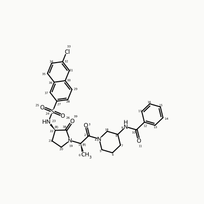 C[C@H](C(=O)N1CCCC(NC(=O)c2ccccc2)C1)N1CC[C@@H](NS(=O)(=O)c2ccc3cc(Cl)ccc3c2)C1=O